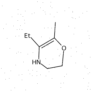 CCC1=C(C)OCCN1